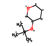 C[Si](C)(C)OC1[C]OCCC1